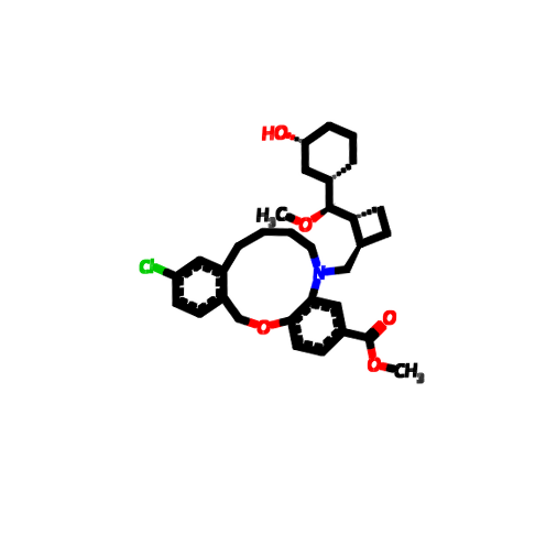 COC(=O)c1ccc2c(c1)N(C[C@@H]1CC[C@H]1[C@@H](OC)[C@H]1CCC[C@@H](O)C1)CCCCc1cc(Cl)ccc1CO2